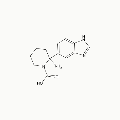 NC1(c2ccc3[nH]cnc3c2)CCCCN1C(=O)O